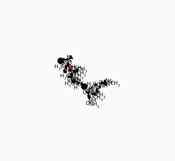 CC[C@H](C)[C@@H]([C@@H](CC(=O)N1CCC[C@H]1[C@H](OC)[C@@H](C)C(=O)N[C@@H](Cc1ccccc1)c1nccs1)OC)N(C)C(=O)[C@@H](NC(=O)C(C)(C)NC(=O)OCc1ccc(NC(=O)[C@H](CCCNC(N)=O)NC(=O)[C@@H](NC(=O)[C@H](CCNC(=O)c2cnc(SC)nc2)NC(C)=O)C(C)C)cc1)C(C)C